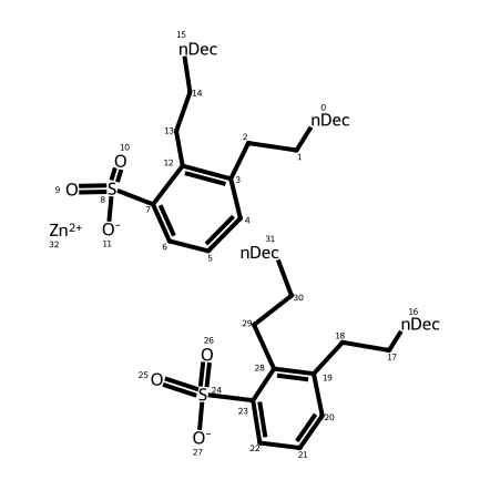 CCCCCCCCCCCCc1cccc(S(=O)(=O)[O-])c1CCCCCCCCCCCC.CCCCCCCCCCCCc1cccc(S(=O)(=O)[O-])c1CCCCCCCCCCCC.[Zn+2]